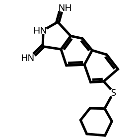 N=C1NC(=N)c2cc3cc(SC4CCCCC4)ccc3cc21